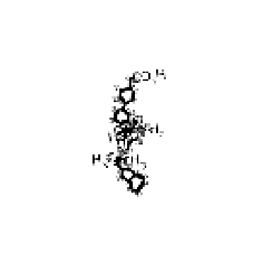 COc1ccc(-c2ccc(CC(=O)O)cc2)cc1S(=O)(=O)N(C)C[C@H](O)CNC(C)(C)CC1Cc2ccccc2C1